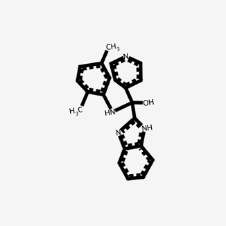 Cc1ccc(C)c(NC(O)(c2ccncc2)c2nc3ccccc3[nH]2)c1